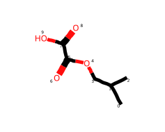 CC(C)COC(=O)C(=O)O